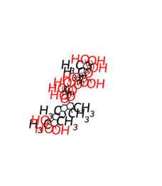 CC1CC(C(=O)O[C@@H]2OC(CO[C@@H]3OC(CO)C(O[C@H]4CC(C)C(O)[C@H](O)[C@@H]4O)[C@@H](C)[C@@H]3O)C(O)[C@@H](O)[C@@H]2O)C2CCC3(C)C(=CCC4C3CCC3C(C)(CO)C(O)C(O)CC43C)C2C1C